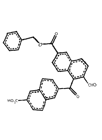 O=[C]c1ccc2cc(C(=O)OCc3ccccc3)ccc2c1C(=O)c1ccc2cc(C(=O)O)ccc2c1